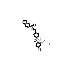 COc1cc(Cl)ccc1S(=O)(=O)c1ccc(CNC(=O)c2ccc3nccn3c2)cc1